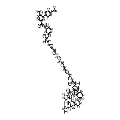 CN[C@@H](C)C(=O)N[C@H](C(=O)N1CCC[C@H]1C(=O)Nc1sc(NC(=O)COCCOCCOCCOCCOCCOCCN(C)C(=O)Cc2cccc(CNC(=O)c3cc(-c4ccc(C5CC5)cc4)c(OC)cn3)c2)nc1-c1ccccc1)C1CCCCC1